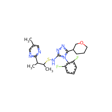 Cc1cnc(C(C)C(C)SNc2nnc(C3CCCOC3)n2-c2c(F)cccc2F)nc1